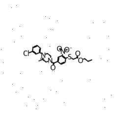 CCCOC(=O)CSc1ccc(C(=O)N2CCN(c3cccc(Cl)c3)[C@H](C)C2)cc1[N+](=O)[O-]